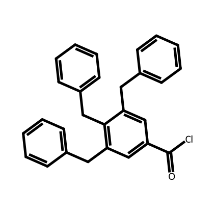 O=C(Cl)c1cc(Cc2ccccc2)c(Cc2ccccc2)c(Cc2ccccc2)c1